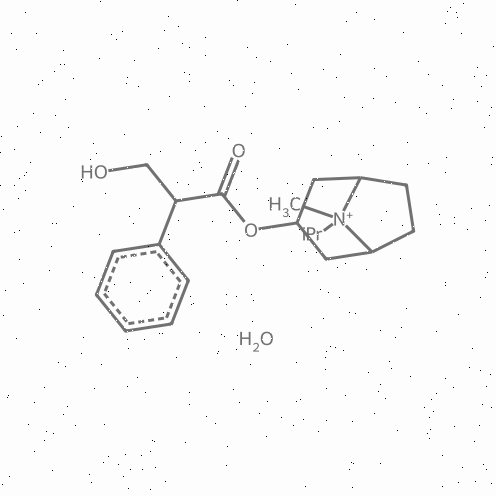 CC(C)[N+]1(C)C2CCC1CC(OC(=O)C(CO)c1ccccc1)C2.O